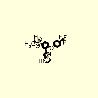 CNS(=O)(=O)c1ccc(Oc2ccc(C(F)(F)F)cc2)c(-c2cc3n(n2)CCN3)c1